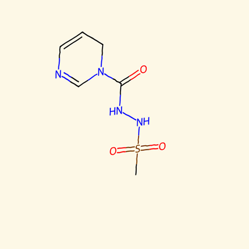 CS(=O)(=O)NNC(=O)N1C=NC=CC1